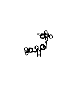 O=C(Cc1ccc2c(c1)OCO2)NC1CCN(CCCN2C(=O)COc3cc(F)ccc32)CC1